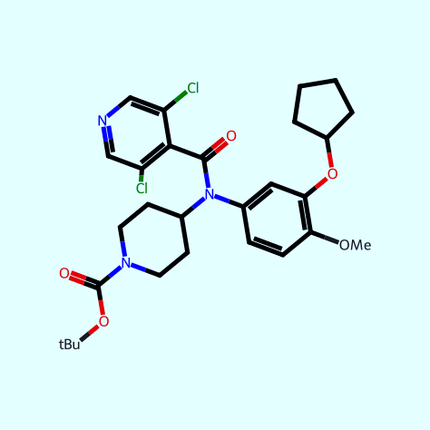 COc1ccc(N(C(=O)c2c(Cl)cncc2Cl)C2CCN(C(=O)OC(C)(C)C)CC2)cc1OC1CCCC1